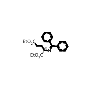 CCOC(=O)CC[C@H](N=C(c1ccccc1)c1ccccc1)C(=O)OCC